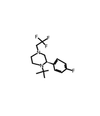 CC(C)(C)N1CCN(CC(F)(F)F)C[C@H]1c1ccc(F)cc1